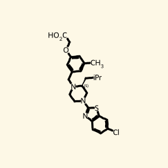 Cc1cc(CN2CCN(c3nc4ccc(Cl)cc4s3)C[C@@H]2CC(C)C)cc(OCC(=O)O)c1